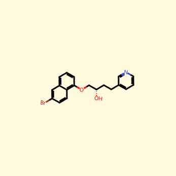 O[C@@H](CCc1cccnc1)COc1cccc2cc(Br)ccc12